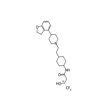 O=C(C[C@@H](O)C(F)(F)F)NC1CCC(CCN2CCC(c3cccc4c3CCO4)CC2)CC1